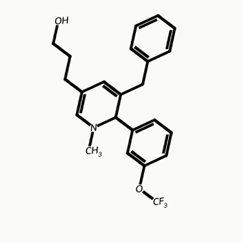 CN1C=C(CCCO)C=C(Cc2ccccc2)C1c1cccc(OC(F)(F)F)c1